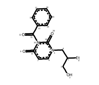 CCC(CO)Cn1ccc(=O)n(C(=O)c2ccccc2)c1=O